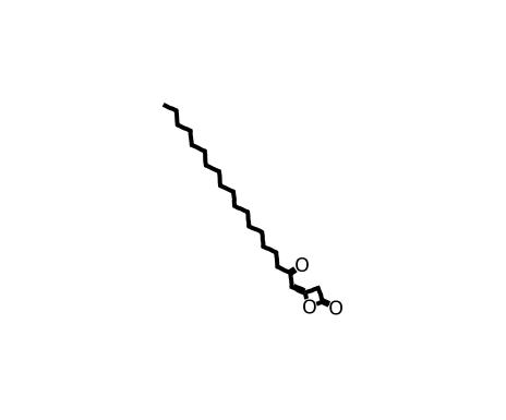 CCCCCCCCCCCCCCCCCC(=O)C=C1CC(=O)O1